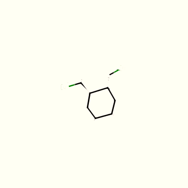 BrC[C@@H]1CCCC[C@H]1CBr